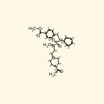 COC(=O)c1ccc(CN(c2ccccc2)S(=O)(=O)N(C)CCN2CCN(C(C)=O)CC2)cc1